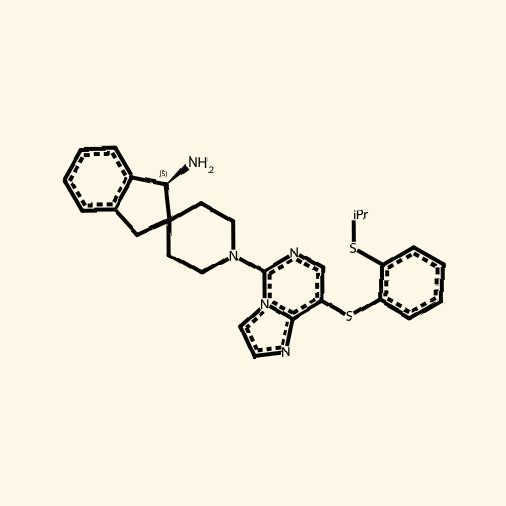 CC(C)Sc1ccccc1Sc1cnc(N2CCC3(CC2)Cc2ccccc2[C@H]3N)n2ccnc12